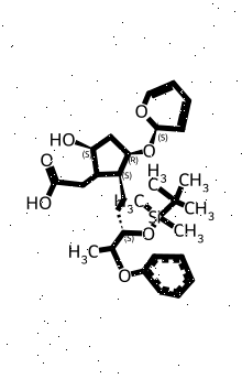 CC(Oc1ccccc1)[C@H](CC[C@H]1C(CC(=O)O)[C@@H](O)C[C@H]1O[C@@H]1C=CC=CO1)O[Si](C)(C)C(C)(C)C